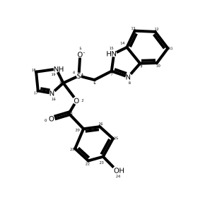 O=C(OC1([S+]([O-])Cc2nc3ccccc3[nH]2)N=CCN1)c1ccc(O)cc1